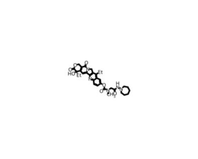 CCc1c2c(nc3ccc(OC(=O)N(C)CC(=O)NN4CCCCCC4)cc13)-c1cc3c(c(=O)n1C2)COC(=O)[C@]3(O)CC